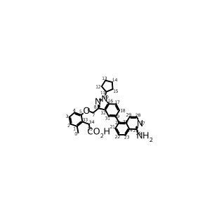 Cc1cccc(OCc2nn(C3CCCC3)c3ccc(-c4cccc5c(N)nccc45)cc23)c1CC(=O)O